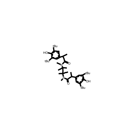 CC(C(=O)N(C)C(C)(C)C(C)(C)N(C)C(=O)C(C)c1cc(C(C)(C)C)c(O)c(C(C)(C)C)c1)c1cc(C(C)(C)C)c(O)c(C(C)(C)C)c1